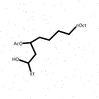 CCCCCCCCCCCCC(CC(O)CC)OC(C)=O